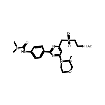 CC(=O)NCCS(=O)(=O)Cc1cc(N2CCOC[C@@H]2C)nc(-c2ccc(NC(=O)N(C)C)cc2)n1